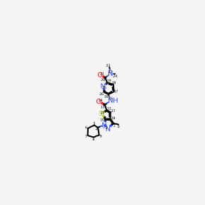 Cc1nn(C2CCCCC2)c2sc(C(=O)Nc3ccc(C(=O)N(C)C)nc3)cc12